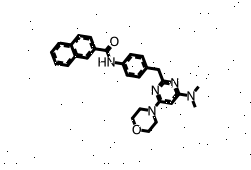 CN(C)c1[c]c(N2CCOCC2)nc(Cc2ccc(NC(=O)c3ccc4ccccc4c3)cc2)n1